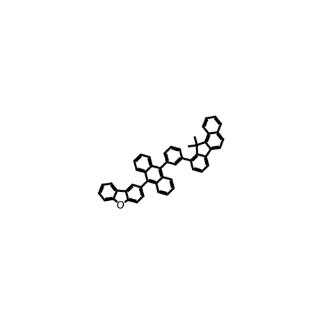 CC1(C)c2c(-c3cccc(-c4c5ccccc5c(-c5ccc6oc7ccccc7c6c5)c5ccccc45)c3)cccc2-c2ccc3ccccc3c21